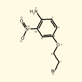 Nc1ccc(OCCBr)cc1[N+](=O)[O-]